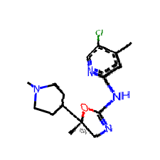 Cc1cc(NC2=NC[C@](C)(C3CCN(C)CC3)O2)ncc1Cl